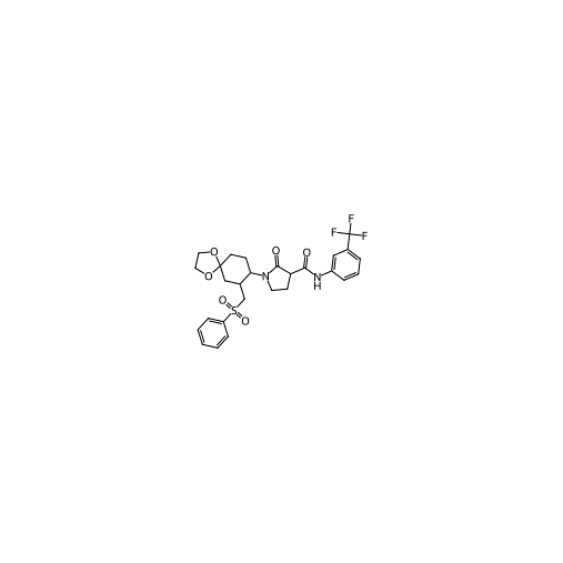 O=C(Nc1cccc(C(F)(F)F)c1)C1CCN(C2CCC3(CC2CS(=O)(=O)c2ccccc2)OCCO3)C1=O